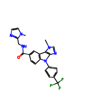 Cn1ccnc1CNC(=O)c1ccc2c(c1)c1c(ncn1C)n2-c1ccc(C(F)(F)F)cc1